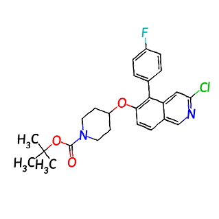 CC(C)(C)OC(=O)N1CCC(Oc2ccc3cnc(Cl)cc3c2-c2ccc(F)cc2)CC1